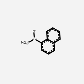 O=S(=O)(O)[S+]([O-])c1cccc2ccccc12